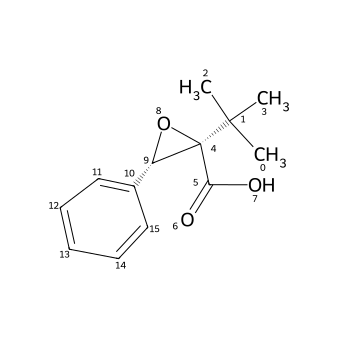 CC(C)(C)[C@@]1(C(=O)O)O[C@H]1c1ccccc1